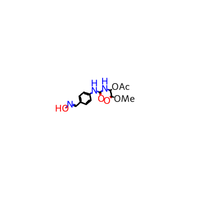 COC(=O)C(NC(=O)Nc1ccc(C=NO)cc1)OC(C)=O